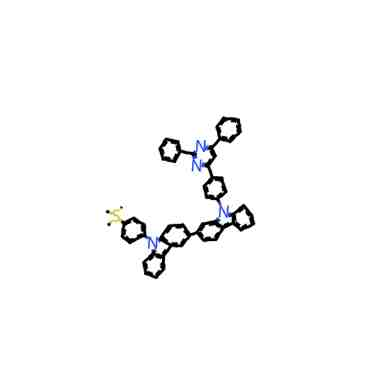 CS(C)(C)c1ccc(-n2c3ccccc3c3cc(-c4ccc5c6ccccc6n(-c6ccc(-c7cc(-c8ccccc8)nc(-c8ccccc8)n7)cc6)c5c4)ccc32)cc1